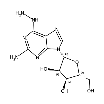 NNc1nc(N)nc2c1ncn2[C@@H]1O[C@H](CO)[C@@H](O)[C@H]1O